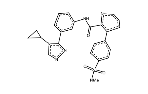 CNS(=O)(=O)c1ccc(-c2cccnc2C(=O)Nc2cccc(-c3nncn3C3CC3)c2)cc1